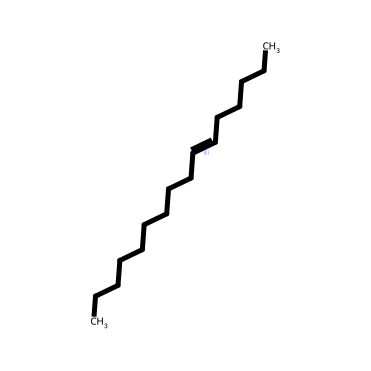 CCCCC/C=C/CCCCCCCCC